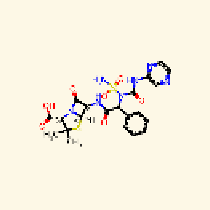 CC1(C)S[C@@H]2[C@H](NC(=O)C(c3ccccc3)N(C(=O)Nc3cnccn3)S(N)(=O)=O)C(=O)N2[C@H]1C(=O)O